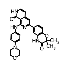 CC1(C)Oc2ccc(-c3cc4cc[nH]c(=O)c4c(Nc4ccc(N5CCOCC5)cc4)n3)cc2NC1=O